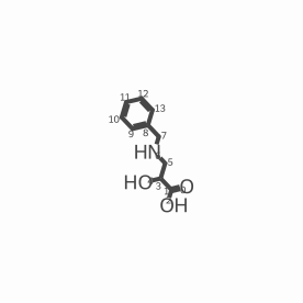 O=C(O)C(O)CNCc1ccccc1